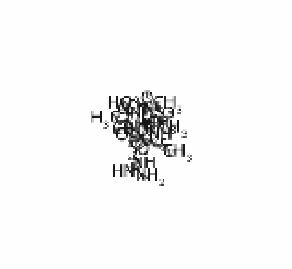 CNC(=O)[C@H](C)NC(=O)[C@H](CO)NC(=O)[C@@H](NC(=O)[C@H](CCCNC(=N)N)NC(=O)[C@H](CSC)NC(C)=O)C(C)C